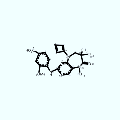 COc1cc(C(=O)O)ccc1Nc1ncc2c(n1)N(C1=CC=C1)CC(C)(C)C(=O)N2C